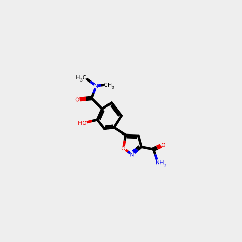 CN(C)C(=O)c1ccc(-c2cc(C(N)=O)no2)cc1O